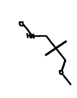 COCC(C)(C)CNCl